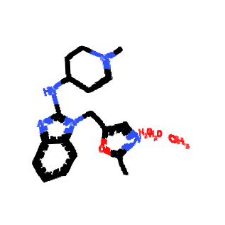 Cc1ncc(Cn2c(NC3CCN(C)CC3)nc3ccccc32)o1.O.O.O